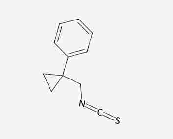 S=C=NCC1(c2ccccc2)CC1